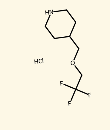 Cl.FC(F)(F)COCC1CCNCC1